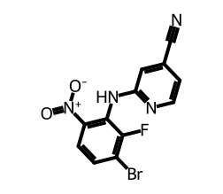 N#Cc1ccnc(Nc2c([N+](=O)[O-])ccc(Br)c2F)c1